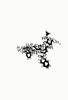 CCCC(NC(=O)C1C[C@@H](OC(=O)N2CCc3ccccc3C2)CN1C(=O)[C@@H](NC(=O)NC1(CS(=O)(=O)C(C)(C)C)CCCCC1)C(C)(C)C)C(=O)C(=O)NC1CC1